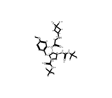 COc1ccc(C[C@@H]2[C@H](OC(=O)CNC3CC(F)(F)C3)[C@@H](OC(=O)OC(C)(C)C)CN2C(=O)OC(C)(C)C)cc1